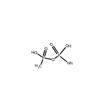 CCCP(=O)(O)OP(C)(=O)O